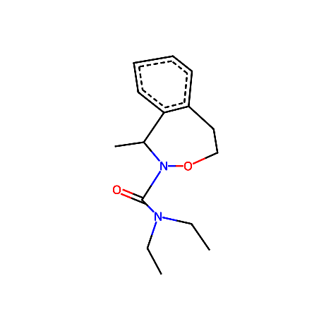 CCN(CC)C(=O)N1OCCc2ccccc2C1C